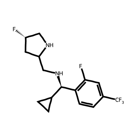 Fc1cc(C(F)(F)F)ccc1[C@H](NCC1C[C@H](F)CN1)C1CC1